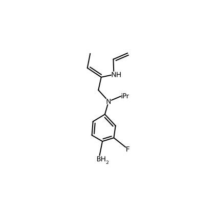 Bc1ccc(N(C/C(=C/C)NC=C)C(C)C)cc1F